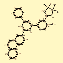 CC1(C)OB(c2cc(-c3nc(-c4ccccc4)nc(-c4ccc5c(ccc6ccccc65)c4)n3)ccc2F)OC1(C)C